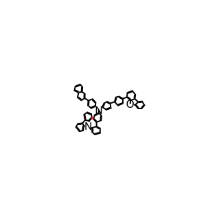 c1ccc(-n2c3ccccc3c3ccccc32)c(-c2ccc(N(c3ccc(-c4ccc(-c5cccc6c5oc5ccccc56)cc4)cc3)c3ccc(-c4ccc5ccccc5c4)cc3)cc2)c1